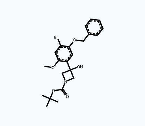 COc1cc(Br)c(OCc2ccccc2)cc1C1(O)CN(C(=O)OC(C)(C)C)C1